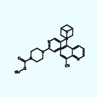 CC(C)(C)OC(=O)N1CCN(c2ccc(CN3C4CC3CN(c3ccc(C#N)c5ncccc35)C4)cn2)CC1